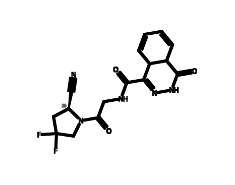 N#C[C@@H]1CC(F)(F)CN1C(=O)CNC(=O)C1=NNC(=O)C2C=CC=CC12